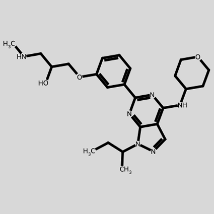 CCC(C)n1ncc2c(NC3CCOCC3)nc(-c3cccc(OCC(O)CNC)c3)nc21